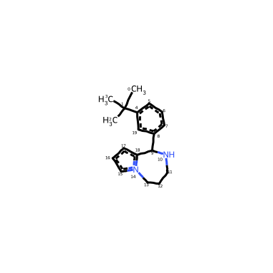 CC(C)(C)c1cccc(C2NCCCn3cccc32)c1